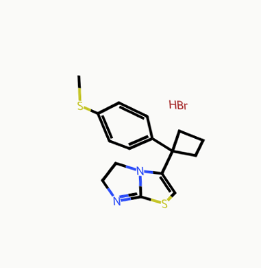 Br.CSc1ccc(C2(C3=CSC4=NCCN34)CCC2)cc1